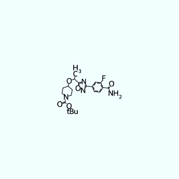 CC(OC1CCN(C(=O)OC(C)(C)C)CC1)c1nc(-c2ccc(C(N)=O)c(F)c2)no1